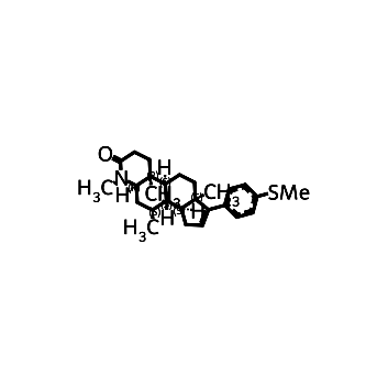 CSc1ccc(C2=CC[C@H]3[C@@H]4[C@@H](C)C[C@H]5N(C)C(=O)CC[C@]5(C)[C@H]4CC[C@]23C)cc1